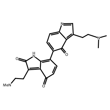 CNCCC1=C2C(=O)C=CC(C3=CC=C4N=CC(CCN(C)C)=C4C3=O)=C2NC1=O